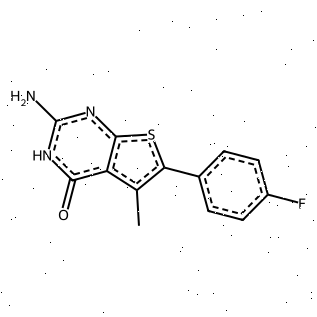 Cc1c(-c2ccc(F)cc2)sc2nc(N)[nH]c(=O)c12